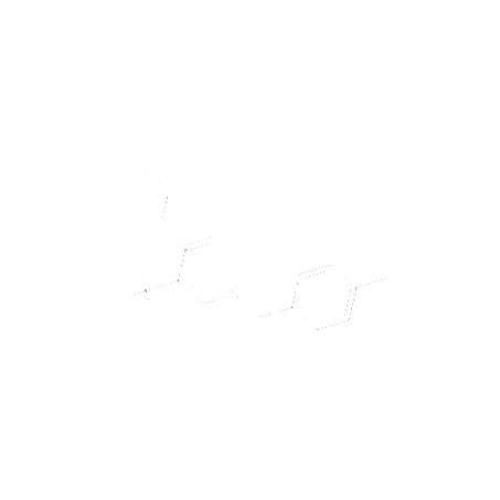 CCOC(=O)/C(=C\NCc1ccc(C)cc1)C(F)(F)F